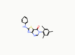 Cc1cc(C)c(-n2cnc3nc(Nc4ccccc4)sc3c2=O)c(C)c1